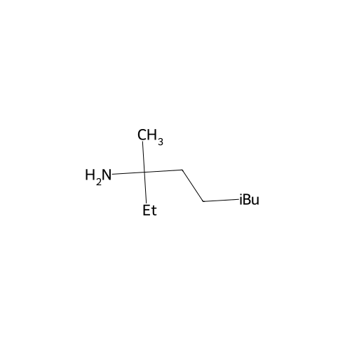 CCC(C)CCC(C)(N)CC